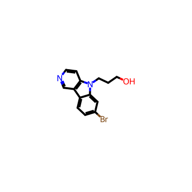 OCCCn1c2ccncc2c2ccc(Br)cc21